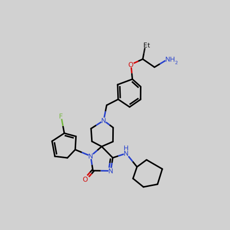 CCC(CN)Oc1cccc(CN2CCC3(CC2)C(NC2CCCCC2)=NC(=O)N3C2C=C(F)C=CC2)c1